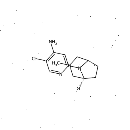 CN1CC2CC[C@@H](C1)N2c1cc(N)c(Cl)cn1